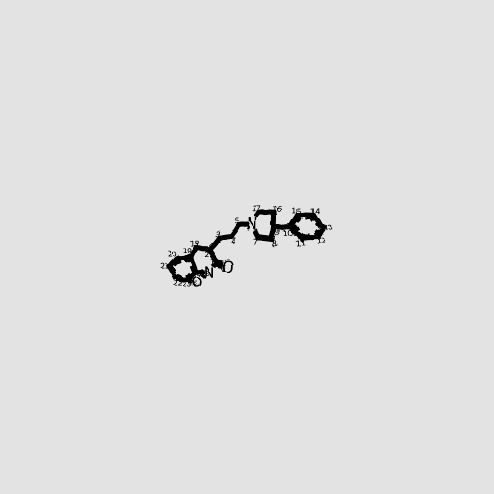 O=C1C(CCCN2CCC(c3ccccc3)CC2)Cc2ccc3cc2N1O3